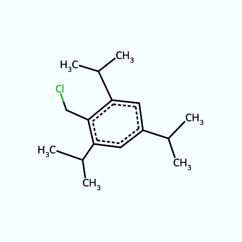 CC(C)c1cc(C(C)C)c(CCl)c(C(C)C)c1